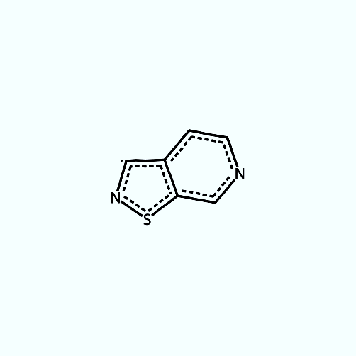 [c]1nsc2cnccc12